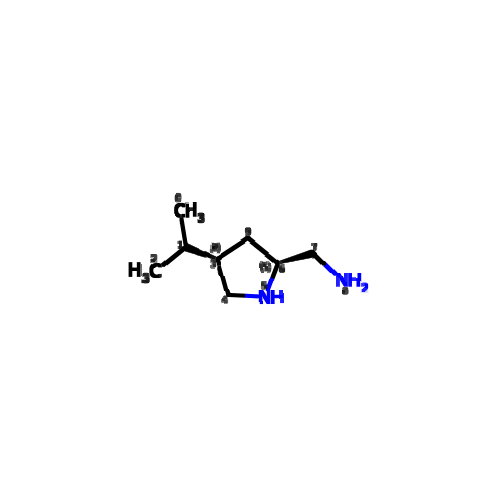 CC(C)[C@@H]1CN[C@H](CN)C1